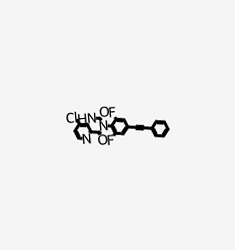 O=c1[nH]c2c(Cl)ccnc2c(=O)n1-c1c(F)cc(C#Cc2ccccc2)cc1F